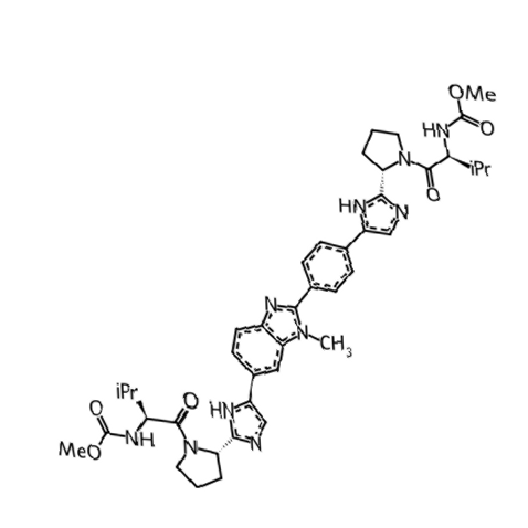 COC(=O)N[C@H](C(=O)N1CCC[C@H]1c1ncc(-c2ccc(-c3nc4ccc(-c5cnc([C@@H]6CCCN6C(=O)[C@@H](NC(=O)OC)C(C)C)[nH]5)cc4n3C)cc2)[nH]1)C(C)C